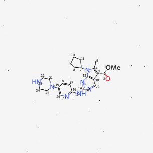 COC(=O)c1c(C)n(C2CCCC2)c2nc(Nc3ccc(N4CCNCC4)cn3)ncc12